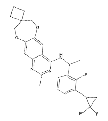 Cc1nc(NC(C)c2cccc(C3CC3(F)F)c2F)c2cc3c(cc2n1)OCC1(CCC1)CO3